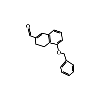 O=CC1=Cc2cccc(OCc3ccccc3)c2CC1